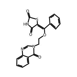 O=C1NC(=O)C(=C(OCCn2cnc3ccccc3c2=O)c2ccccc2)S1